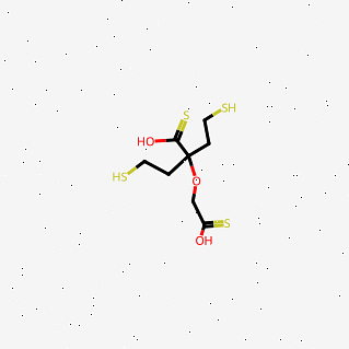 OC(=S)COC(CCS)(CCS)C(O)=S